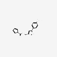 O=C(OCc1cc(-c2ccc([N+](=O)[O-])cc2)no1)C1C=CC=C1